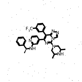 CC1CN(c2nc(-c3ccnc(N[C@@H](C)c4ccccc4)c3)c(-c3cccc(C(F)(F)F)c3)c3nncn23)CC(C)N1